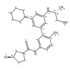 CC[C@@H]1CCN(C(=O)Nc2ccc(C)c(-c3cc(N[C@H](C)CO)nc(N4CCOCC4)c3)c2)C1